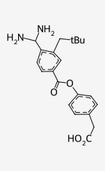 CC(C)(C)Cc1cc(C(=O)Oc2ccc(CC(=O)O)cc2)ccc1C(N)N